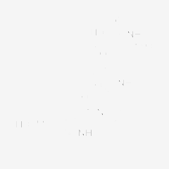 COC(=O)C(CC1CC(C)(C)NC1=O)NC(=O)C1CC2(CCCCC2)CN1C(=O)c1cc2c(OC)cccc2[nH]1